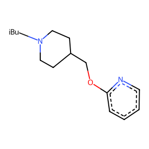 CCC(C)N1CCC(COc2ccccn2)CC1